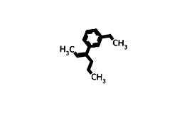 C/C=C(/CCC)c1cccc(CC)c1